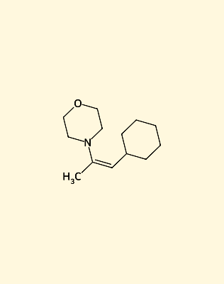 CC(=CC1CCCCC1)N1CCOCC1